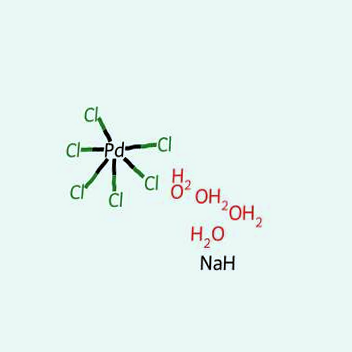 O.O.O.O.[Cl][Pd]([Cl])([Cl])([Cl])([Cl])[Cl].[NaH]